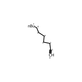 C#CCCCCCCC[CH]C